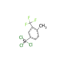 Cc1ccc([Si](Cl)(Cl)Cl)cc1C(F)(F)F